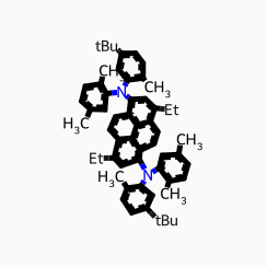 CCc1cc(N(c2cc(C)ccc2C)c2cc(C(C)(C)C)ccc2C)c2ccc3c(CC)cc(N(c4cc(C)ccc4C)c4cc(C(C)(C)C)ccc4C)c4ccc1c2c34